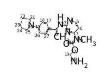 CC(Nc1nccc(N(C)C(=O)OCN)n1)c1ccc(N2CCCCC2)cc1